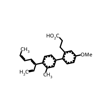 C=C/C(=C\C=C/C)c1ccc(-c2ccc(OC)cc2CCC(=O)O)cc1C